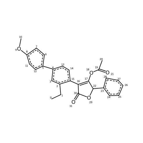 CCc1cc(-c2ccc(OC)cc2)ccc1C1=C(OC(C)=O)C(c2ccccc2)OC1=O